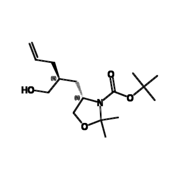 C=CC[C@H](CO)C[C@H]1COC(C)(C)N1C(=O)OC(C)(C)C